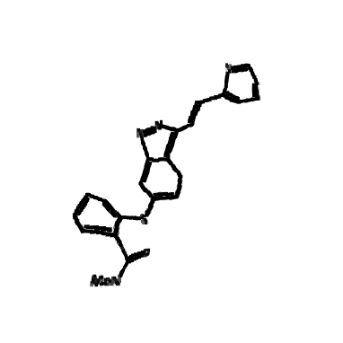 CNC(=O)c1ccccc1SC1=CCC2=C(/C=C/c3ccccn3)N=NC2=C1